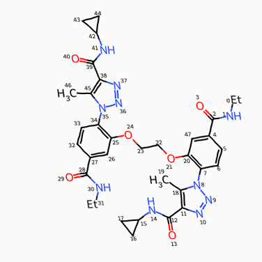 CCNC(=O)c1ccc(-n2nnc(C(=O)NC3CC3)c2C)c(OCCOc2cc(C(=O)NCC)ccc2-n2nnc(C(=O)NC3CC3)c2C)c1